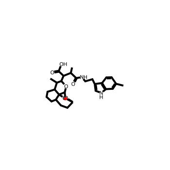 Cc1ccc2c(CCNC(=O)C(C)C(C(=O)O)C3OC4OC5CCC6CCCC(C3C)C64OO5)c[nH]c2c1